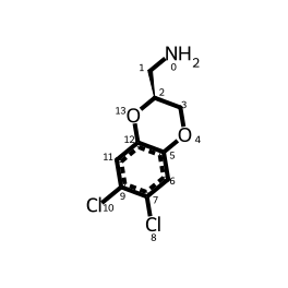 NC[C@H]1COc2cc(Cl)c(Cl)cc2O1